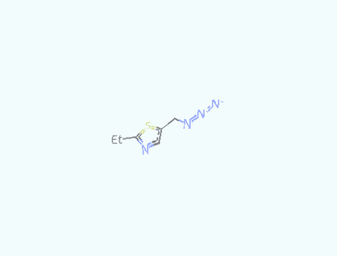 CCc1ncc(CN=[N+]=[N-])s1